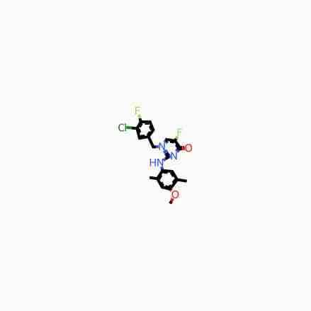 COc1cc(C)c(Nc2nc(=O)c(F)cn2Cc2ccc(F)c(Cl)c2)cc1C